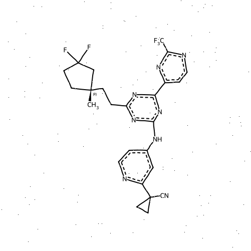 C[C@@]1(CCc2nc(Nc3ccnc(C4(C#N)CC4)c3)nc(-c3ccnc(C(F)(F)F)n3)n2)CCC(F)(F)C1